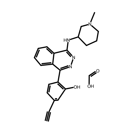 C#Cc1ccc(-c2nnc(NC3CCCN(C)C3)c3ccccc23)c(O)c1.O=CO